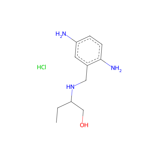 CCC(CO)NCc1cc(N)ccc1N.Cl